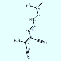 C[C@H](O)CN/C=N/C(C#N)=C(\N)C#N